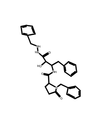 O=C(NNCc1ccccc1)C(O)C(Cc1ccccc1)NC(=O)C1CCC(=O)N1Cc1ccccc1